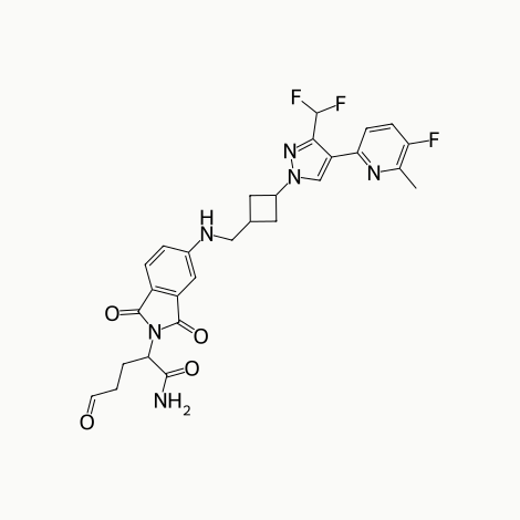 Cc1nc(-c2cn(C3CC(CNc4ccc5c(c4)C(=O)N(C(CCC=O)C(N)=O)C5=O)C3)nc2C(F)F)ccc1F